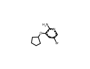 Nc1ncc(Br)cc1OC1CCCC1